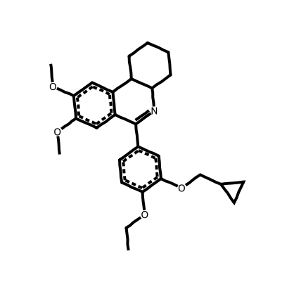 CCOc1ccc(C2=NC3CCCCC3c3cc(OC)c(OC)cc32)cc1OCC1CC1